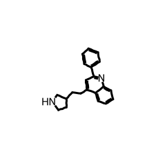 c1ccc(-c2cc(CCC3CCNC3)c3ccccc3n2)cc1